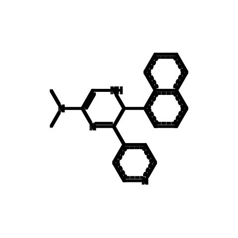 CN(C)C1=CNC(c2cccc3ccccc23)C(c2ccncc2)=N1